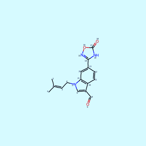 CC(C)=CCn1cc(C=O)c2ccc(-c3noc(=O)[nH]3)cc21